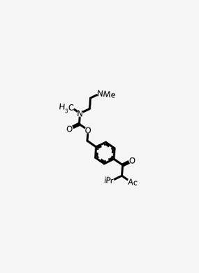 CNCCN(C)C(=O)OCc1ccc(C(=O)C(C(C)=O)C(C)C)cc1